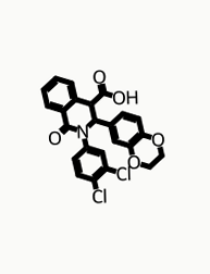 O=C(O)C1c2ccccc2C(=O)N(c2ccc(Cl)c(Cl)c2)C1c1ccc2c(c1)OCCO2